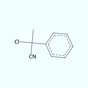 CC(Cl)(C#N)c1ccccc1